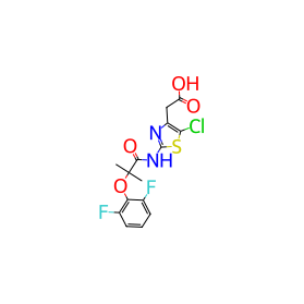 CC(C)(Oc1c(F)cccc1F)C(=O)Nc1nc(CC(=O)O)c(Cl)s1